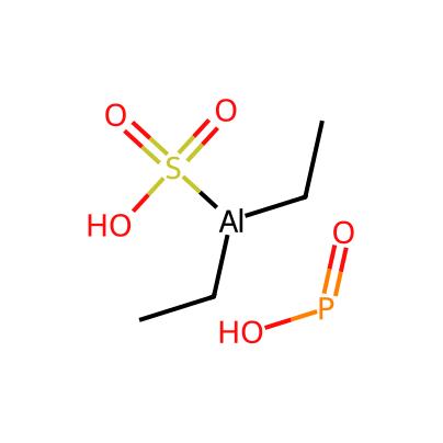 C[CH2][Al]([CH2]C)[S](=O)(=O)O.O=PO